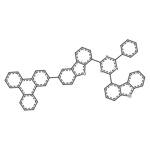 c1ccc(-c2nc(-c3cccc4c3oc3ccc(-c5ccc6c7ccccc7c7ccccc7c6c5)cc34)nc(-c3cccc4oc5ccccc5c34)n2)cc1